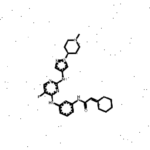 CN1CCC(n2cc(Nc3ncc(F)c(Nc4cccc(NC(=O)C=C5CCCCC5)c4)n3)cn2)CC1